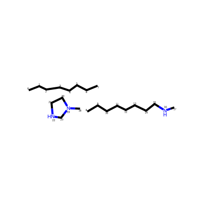 CCCCCCCC.CCCCCCCCNC.CN1CCNC1